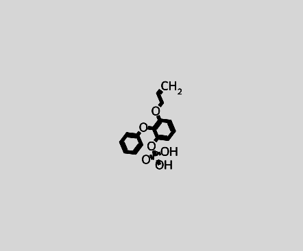 C=CCOc1cccc(OP(=O)(O)O)c1Oc1ccccc1